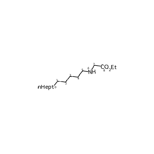 CCCCCCCCCCCCNCC(=O)OCC